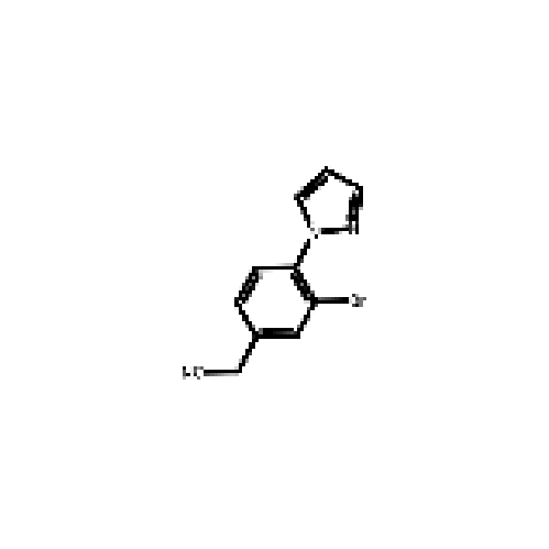 N#CCc1ccc(-n2cccn2)c(Br)c1